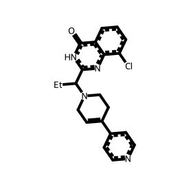 CCC(c1nc2c(Cl)cccc2c(=O)[nH]1)N1CC=C(c2ccncc2)CC1